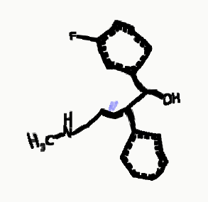 CNC/C=C(\c1ccccc1)C(O)c1cccc(F)c1